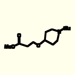 COC(=O)CCOC1CCN(C(C)(C)C)CC1